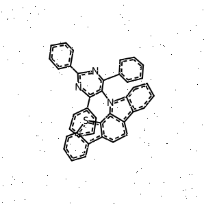 c1ccc(-c2nc(-c3ccccc3)c(-n3c4ccccc4c4ccc5c6ccccc6sc5c43)c(-c3ccccc3)n2)cc1